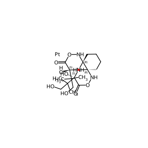 CC(C)(CO)[C@@]1(O)N[C@]2(CCCC[C@@]23NOC(=O)[C@@](O)(C(C)(C)CO)N3)NOC1=O.[Pt]